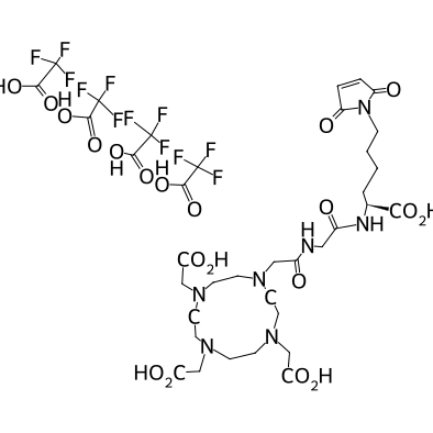 O=C(O)C(F)(F)F.O=C(O)C(F)(F)F.O=C(O)C(F)(F)F.O=C(O)C(F)(F)F.O=C(O)CN1CCN(CC(=O)O)CCN(CC(=O)NCC(=O)N[C@@H](CCCCN2C(=O)C=CC2=O)C(=O)O)CCN(CC(=O)O)CC1